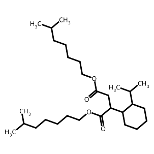 CC(C)CCCCCOC(=O)CC(C(=O)OCCCCCC(C)C)C1CCCCC1C(C)C